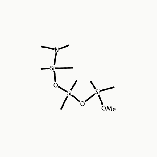 CO[Si](C)(C)O[Si](C)(C)O[Si](C)(C)N(C)C